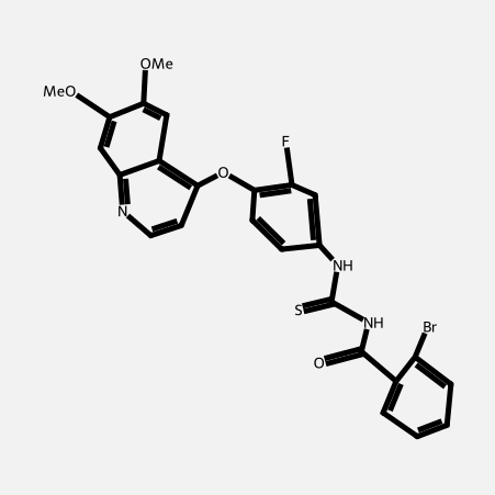 COc1cc2nccc(Oc3ccc(NC(=S)NC(=O)c4ccccc4Br)cc3F)c2cc1OC